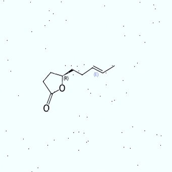 C/C=C/CC[C@@H]1CCC(=O)O1